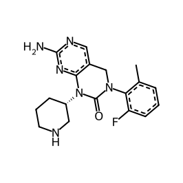 Cc1cccc(F)c1N1Cc2cnc(N)nc2N([C@H]2CCCNC2)C1=O